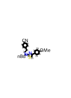 CCCCN(CCc1ccc(C#N)cc1)c1nc(-c2ccc(OC)cc2)cs1